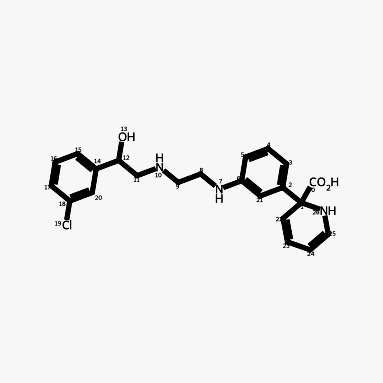 O=C(O)C1(c2cccc(NCCNCC(O)c3cccc(Cl)c3)c2)C=CC=CN1